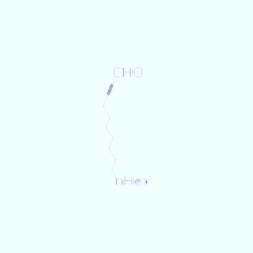 CCCCCCCCCCCCCC#CC=O